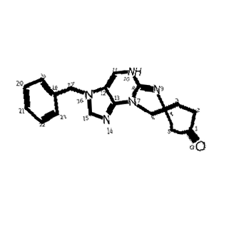 O=C1CCC2(C1)CN1C(=N2)NC=C2C1=NCN2Cc1ccccc1